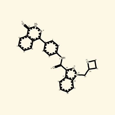 O=C(Nc1ccc(-c2n[nH]c(=O)c3ccccc23)cc1)c1nn(CC2CCO2)c2ccccc12